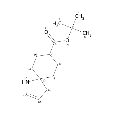 CC(C)(C)OC(=O)C1CCC2(CC=CN2)CC1